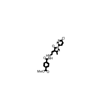 COC(=O)c1ccc(C(=O)NNCC=C2C(=O)N(c3ccc(Cl)nn3)N=C2C)cc1